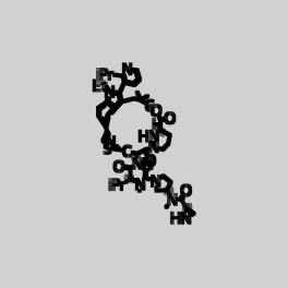 CCn1c(-c2cccnc2C(C)C)c2c3cc(ccc31)-c1csc(n1)C[C@H](NC(=O)[C@H](C(C)C)N(C)C(=O)N1CC[C@H](N(C)C(=O)[C@H]3CN3)C1)C(=O)N1CCC[C@H](N1)C(=O)OCC(C)(C)C2